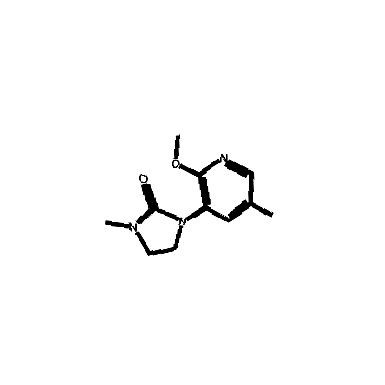 COc1ncc(C)cc1N1CCN(C)C1=O